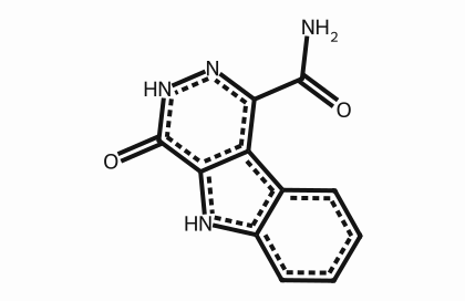 NC(=O)c1n[nH]c(=O)c2[nH]c3ccccc3c12